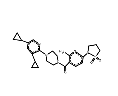 Cc1nc(N2CCCS2(=O)=O)ccc1C(=O)N1CCN(c2ncc(C3CC3)cc2C2CC2)CC1